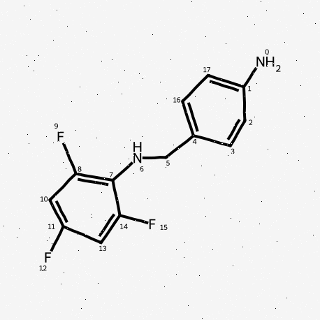 Nc1ccc(CNc2c(F)cc(F)cc2F)cc1